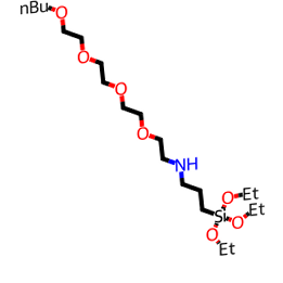 CCCCOCCOCCOCCOCCNCCC[Si](OCC)(OCC)OCC